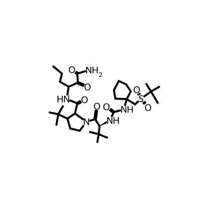 CCCC(NC(=O)C1C(C(C)(C)C)CCN1C(=O)[C@@H](NC(=O)NC1(CS(=O)(=O)C(C)(C)C)CCCCC1)C(C)(C)C)C(=O)C(N)=O